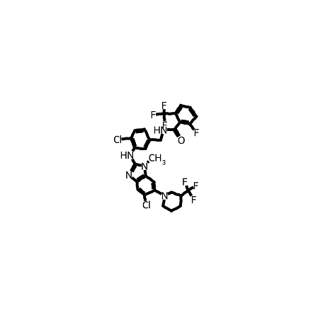 Cn1c(Nc2cc(CNC(=O)c3c(F)cccc3C(F)(F)F)ccc2Cl)nc2cc(Cl)c(N3CCCC(C(F)(F)F)C3)cc21